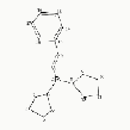 C(=CP(C1CCCC1)C1CCCC1)c1ccccc1